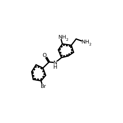 NCc1ccc(NC(=O)c2cccc(Br)c2)cc1N